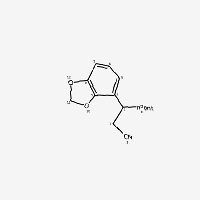 CCCCCC(CC#N)c1cccc2c1OCO2